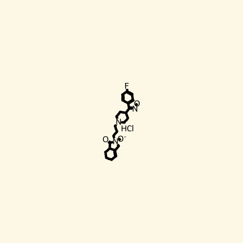 Cl.O=C1C2CCCC=C2C[N+]1([O-])CCCN1CCC(c2noc3cc(F)ccc23)CC1